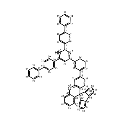 C1=C(C2=NC(c3ccc(-c4ccccc4)cc3)NC(c3ccc(-c4ccccc4)cc3)=C2)CCC=C1c1ccc2c(c1)Oc1ccccc1C21c2ccccc2-c2ccccc21